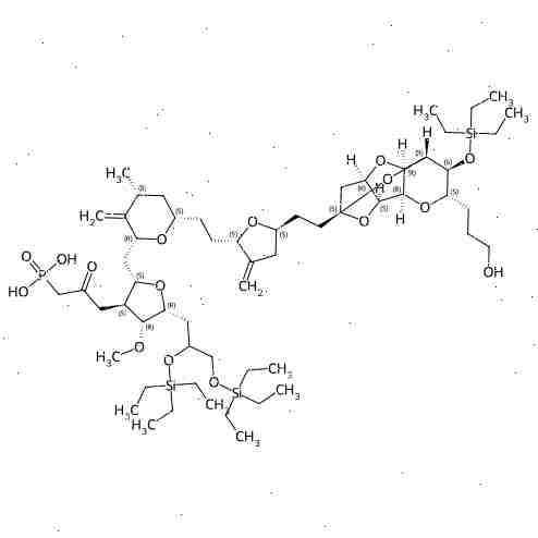 C=C1C[C@H](CC[C@@]23C[C@H]4O[C@H]5[C@@H](O2)[C@@H](O[Si](CC)(CC)CC)[C@H](CCCO)O[C@H]5[C@H]4O3)O[C@H]1CC[C@H]1C[C@@H](C)C(=C)[C@@H](C[C@@H]2O[C@H](CC(CO[Si](CC)(CC)CC)O[Si](CC)(CC)CC)[C@H](OC)[C@H]2CC(=O)CP(=O)(O)O)O1